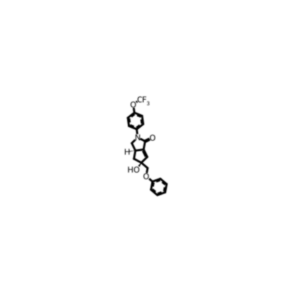 O=C1C2=C[C@](O)(COc3ccccc3)C[C@H]2CN1c1ccc(OC(F)(F)F)cc1